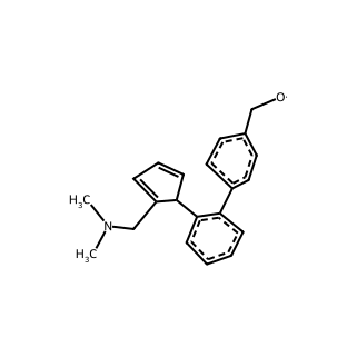 CN(C)CC1=CC=CC1c1ccccc1-c1ccc(C[O])cc1